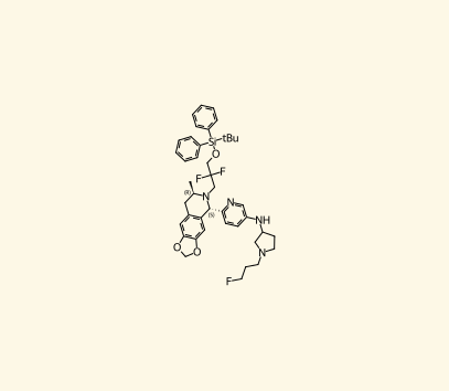 C[C@@H]1Cc2cc3c(cc2[C@@H](c2ccc(NC4CCN(CCCF)C4)cn2)N1CC(F)(F)CO[Si](c1ccccc1)(c1ccccc1)C(C)(C)C)OCO3